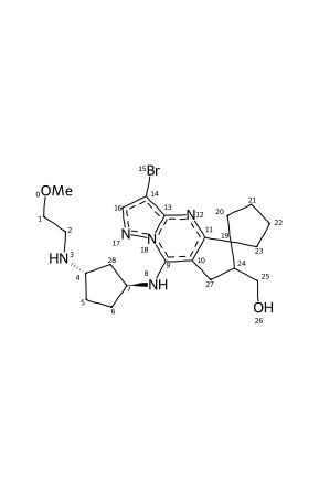 COCCN[C@H]1CC[C@H](Nc2c3c(nc4c(Br)cnn24)C2(CCCC2)C(CO)C3)C1